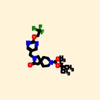 CC(C)(C)OC(=O)N1CCC2(CC1)CC(=O)N(Cc1cnc(OCC(F)(F)F)nc1)C2